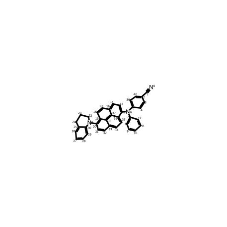 N#Cc1ccc(N(c2ccccc2)c2ccc3ccc4c(N5CCCc6ccccc65)ccc5ccc2c3c54)cc1